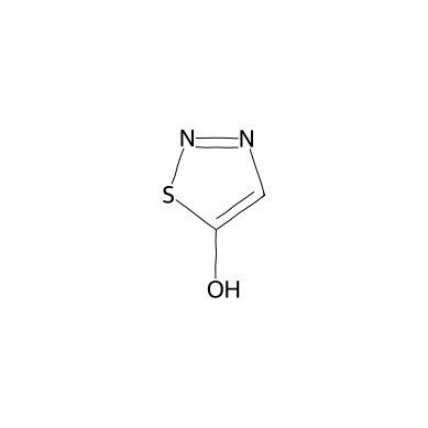 Oc1cnns1